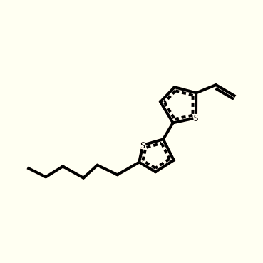 C=Cc1ccc(-c2ccc(CCCCCC)s2)s1